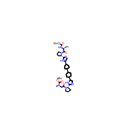 COC(=O)N[C@H](C(=O)N1CCC[C@H]1c1ncc(-c2ccc(-c3ccc(-c4cnc([C@@H]5CCCN5C(=O)CN(C)C(=O)OC(C)(C)C)[nH]4)cc3)cc2)[nH]1)C(C)C